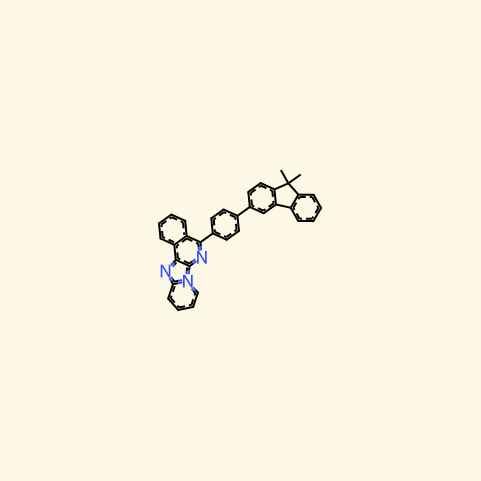 CC1(C)c2ccccc2-c2cc(-c3ccc(-c4nc5c(nc6ccccn65)c5ccccc45)cc3)ccc21